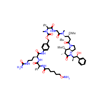 CC[C@H](C)[C@@H]([C@@H](CC(=O)N1CCC[C@H]1[C@H](OC)[C@@H](C)C(=O)N[C@H](C)[C@@H](O)c1ccccc1)OC)N(C)C(=O)CNC(=O)C(C(C)C)N(C)C(=O)OCc1ccc(NC(=O)[C@H](CCCNC(N)=O)NC(=O)C(NC(=O)CCCCCON)C(C)C)cc1